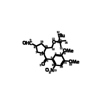 COc1cc(C(=O)N2CC(C=O)CC2CO[Si](C)(C)C(C)(C)C)c([N+](=O)[O-])cc1OC